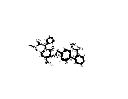 CN(C)C(=O)C(c1ccccc1)n1ccc(N)c(NCc2ccc(-c3ccccc3-c3nnn[nH]3)cc2)c1=O